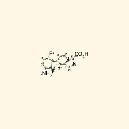 Nc1ccc(F)c(-c2ccn3c(C(=O)O)ncc3c2F)c1F